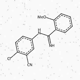 COc1ccccc1C(=N)Nc1ccc(Cl)c(C#N)c1